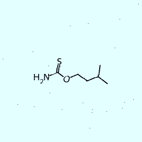 CC(C)CCOC(N)=S